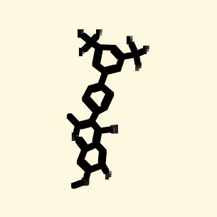 COc1cc2nc(C)c(-c3ccc(-c4cc(C(F)(F)F)cc(C(F)(F)F)c4)cc3)c(Cl)c2cc1F